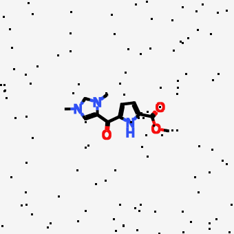 COC(=O)c1ccc(C(=O)C2=CN(C)CN2C)[nH]1